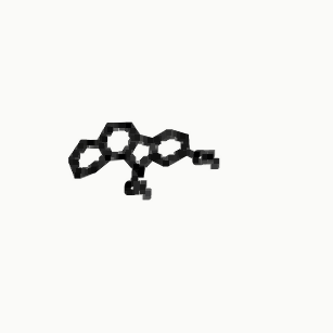 Cc1ccc2c3ccc4ccccc4c3n(C)c2c1